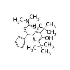 CN(C)C(=S)SC(c1ccccc1)c1cc(C(C)(C)C)c(O)c(C(C)(C)C)c1